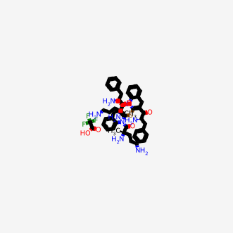 C[C@](N)(CCCN)C(=O)N1C(SC2=C(C(=O)[C@@H](N)Cc3ccccc3)Cc3ccccc3N2C(=O)[C@@](C)(N)CCCN)=C(C(=O)[C@@H](N)Cc2ccccc2)Cc2ccccc21.O=C(O)C(F)(F)F